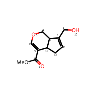 COC(=O)C1=COCC2C(CO)=CCC12